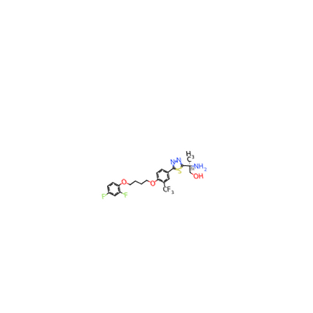 C[C@](N)(CO)c1nnc(-c2ccc(OCCCCOc3ccc(F)cc3F)c(C(F)(F)F)c2)s1